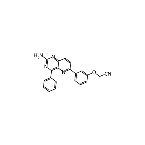 N#CCOc1cccc(-c2ccc3nc(N)nc(-c4ccccc4)c3n2)c1